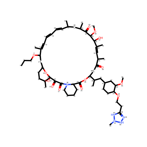 CCCOC1CC2CCC(C)C(O)(O2)C(=O)C(=O)N2CCCCC2C(=O)OC(C(C)CC2CCC(OCCC3=NNN(C)N3)C(OC)C2)CC(=O)C(C)/C=C(\C)C(O)C(OC)C(=O)C(C)CC(C)/C=C/C=C/C=C/1C